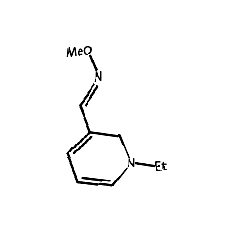 CCN1C=CC=C(C=NOC)C1